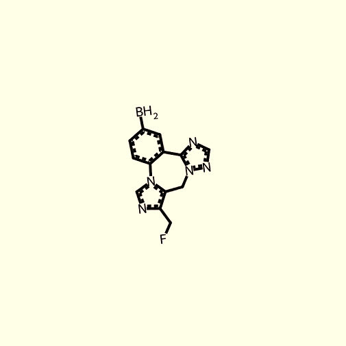 Bc1ccc2c(c1)-c1ncnn1Cc1c(CF)ncn1-2